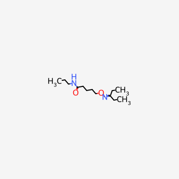 CCCNC(=O)CCCCON=C(CC)CC